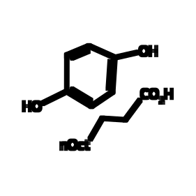 CCCCCCCCCCC(=O)O.Oc1ccc(O)cc1